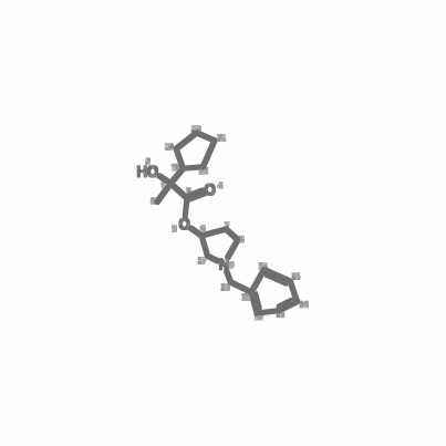 CC(O)(C(=O)OC1CCN(Cc2ccccc2)C1)C1CCCC1